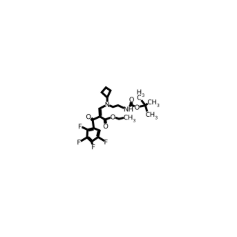 CCOC(=O)C(=CN(CCNC(=O)OC(C)(C)C)C1CCC1)C(=O)c1cc(F)c(F)c(F)c1F